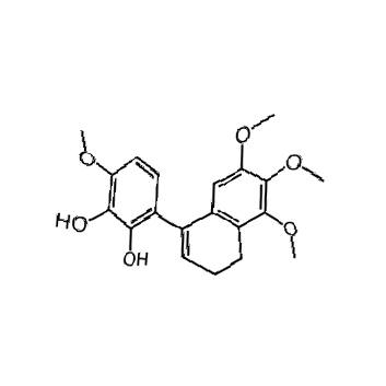 COc1ccc(C2=CCCc3c2cc(OC)c(OC)c3OC)c(O)c1O